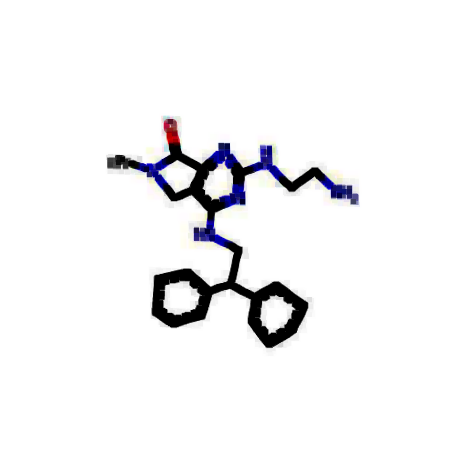 CCCN1Cc2c(NCC(c3ccccc3)c3ccccc3)nc(NCCN)nc2C1=O